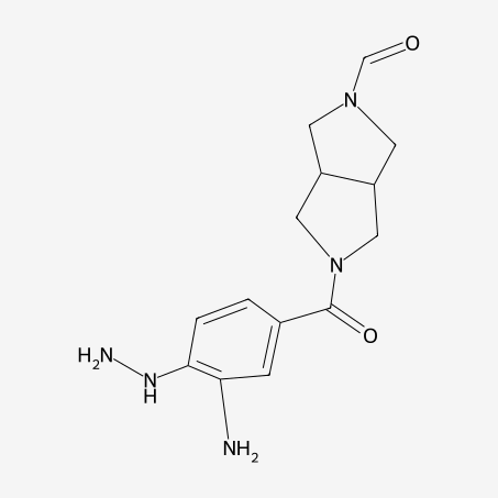 NNc1ccc(C(=O)N2CC3CN(C=O)CC3C2)cc1N